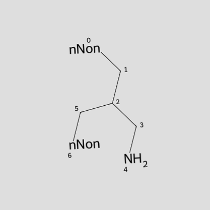 CCCCCCCCCCC(CN)CCCCCCCCCC